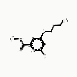 CCCCOc1cc(Cl)nc(C(=O)OC)c1